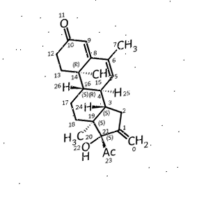 C=C1C[C@H]2[C@@H]3C=C(C)C4=CC(=O)CC[C@]4(C)[C@H]3CC[C@]2(C)[C@]1(O)C(C)=O